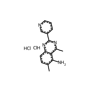 Cc1ccc2nc(-c3cccnc3)nc(C)c2c1N.Cl.Cl